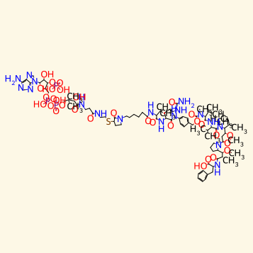 CCC(C)C(C(CC(=O)N1CCCC1C(OC)C(C)C(=O)NC(Cc1ccccc1)C(=O)O)OC)N(C)C(=O)C(NC(=O)C(C(C)C)N(C)C(=O)OCc1ccc(NC(=O)C(CCCNC(N)=O)NC(=O)C(NC(=O)CCCCCN2CCC(SCCNC(=O)CCNC(=O)C(O)C(C)(C)COP(=O)(O)OP(=O)(O)OCC3OC(n4cnc5c(N)ncnc54)C(O)C3OP(=O)(O)O)C2=O)C(C)C)cc1)C(C)C